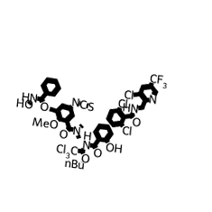 CCCCOC(NC(=O)c1ccccc1O)C(Cl)(Cl)Cl.COc1c(C)cc(N=C=S)cc1C(=O)N(C)C.O=C(NCc1ncc(C(F)(F)F)cc1Cl)c1c(Cl)cccc1Cl.O=C(NO)c1ccccc1